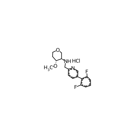 CO[C@@H]1CCOC[C@H]1NCc1ccc(-c2c(F)cccc2F)cn1.Cl